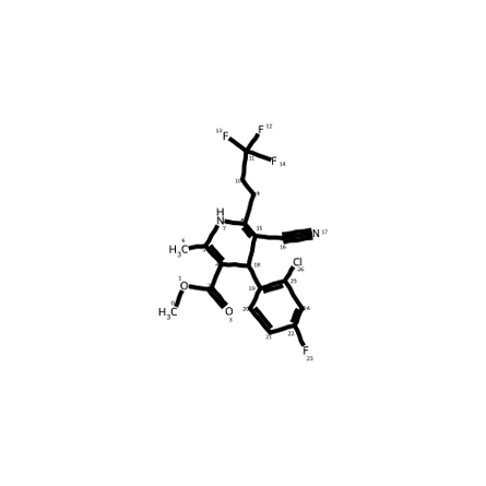 COC(=O)C1=C(C)NC(CCC(F)(F)F)=C(C#N)C1c1ccc(F)cc1Cl